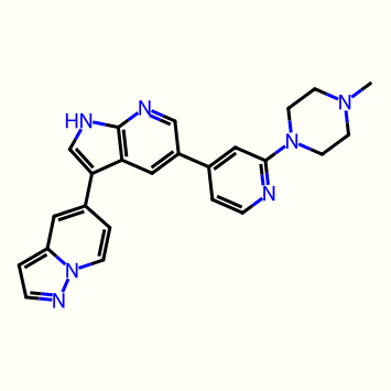 CN1CCN(c2cc(-c3cnc4[nH]cc(-c5ccn6nccc6c5)c4c3)ccn2)CC1